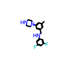 Cc1cc(CNc2cc(F)cc(F)c2)cc(N2CCNCC2)c1